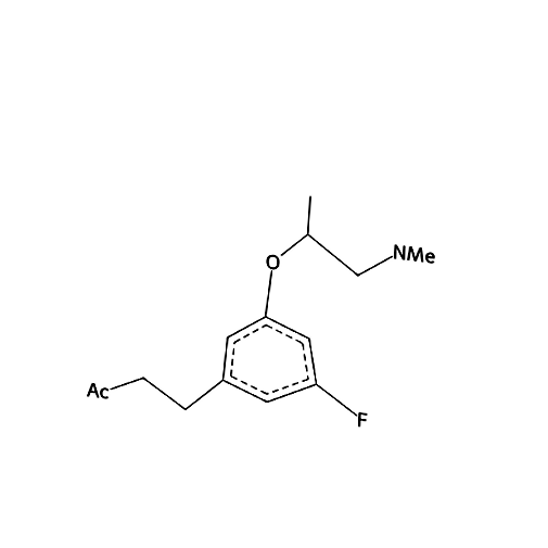 CNCC(C)Oc1cc(F)cc(CCC(C)=O)c1